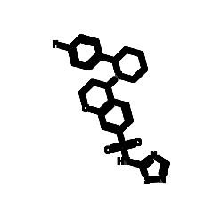 O=S(=O)(Nc1ncns1)c1ccc2c(c1)OCCC2N1CCCCC1c1ccc(F)cc1